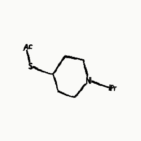 CC(=O)SC1CCN(C(C)C)CC1